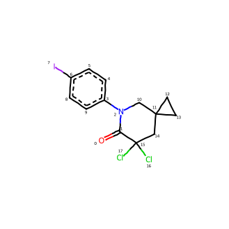 O=C1N(c2ccc(I)cc2)CC2(CC2)CC1(Cl)Cl